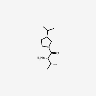 CC(C)[C@@H]1CCN(C(=O)[C@H](N)C(C)C)C1